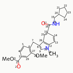 COC(=O)c1ccc(Cc2cn(C)c3ccc(C(=O)NCC4CCCC4)cc23)c(OC)c1